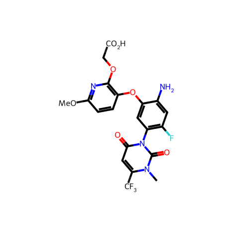 COc1ccc(Oc2cc(-n3c(=O)cc(C(F)(F)F)n(C)c3=O)c(F)cc2N)c(OCC(=O)O)n1